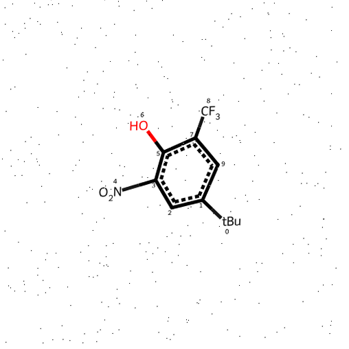 CC(C)(C)c1cc([N+](=O)[O-])c(O)c(C(F)(F)F)c1